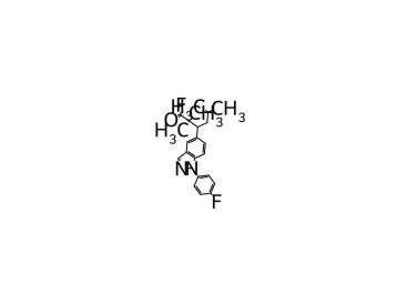 CC(C)CC(c1ccc2c(cnn2-c2ccc(F)cc2)c1)C(C)(C)C(=O)F